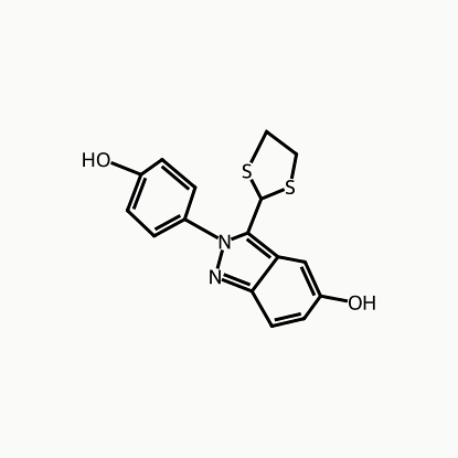 Oc1ccc(-n2nc3ccc(O)cc3c2C2SCCS2)cc1